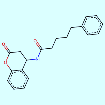 O=C(CCCCc1ccccc1)NC1CC(=O)Oc2ccccc21